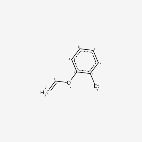 C=COc1ccccc1CC